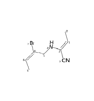 C/C=C(/C#N)NC/C(Br)=C\C